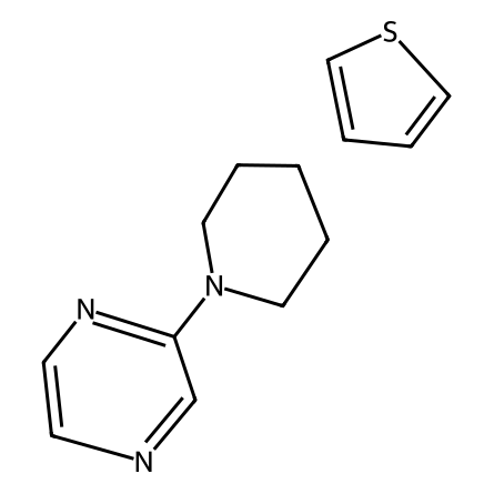 c1ccsc1.c1cnc(N2CCCCC2)cn1